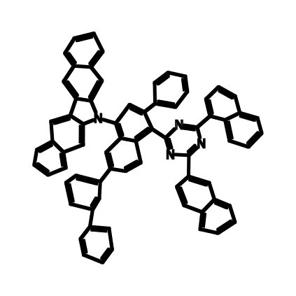 c1ccc(-c2cccc(-c3ccc4c(-c5nc(-c6ccc7ccccc7c6)nc(-c6cccc7ccccc67)n5)c(-c5ccccc5)cc(-n5c6cc7ccccc7cc6c6cc7ccccc7cc65)c4c3)c2)cc1